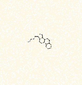 CC(=O)O[C@H]1CC[C@]2(C)C3CC[C@@]4(C)C(CC[C@@H]4[C@H](C)CCCC(C)C)C3C[C@@H](Br)[C@@]2(Br)C1